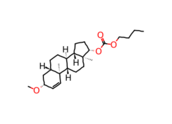 CCCCOC(=O)O[C@H]1CC[C@H]2[C@@H]3CC[C@H]4C[C@@H](OC)C=C[C@]4(C)[C@H]3CC[C@]12C